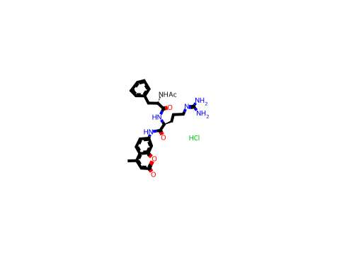 CC(=O)N[C@@H](Cc1ccccc1)C(=O)N[C@@H](CCCN=C(N)N)C(=O)Nc1ccc2c(C)cc(=O)oc2c1.Cl